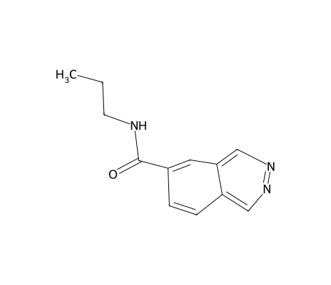 CCCNC(=O)c1ccc2cnncc2c1